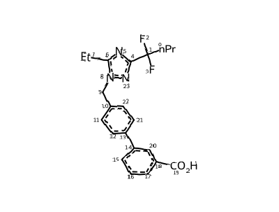 CCCC(F)(F)c1nc(CC)n(Cc2ccc(-c3cccc(C(=O)O)c3)cc2)n1